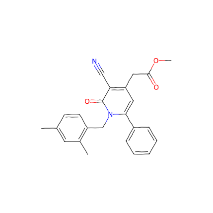 COC(=O)Cc1cc(-c2ccccc2)n(Cc2ccc(C)cc2C)c(=O)c1C#N